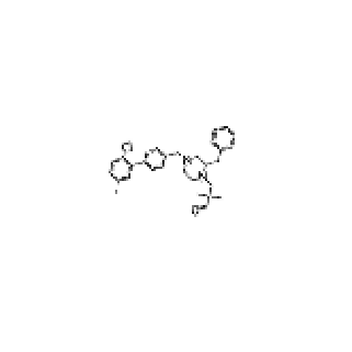 Cc1ccc(Cl)c(-c2ccc(CN3CCN(CC(C)(C)C=O)C(Cc4ccccc4)C3)cc2)c1